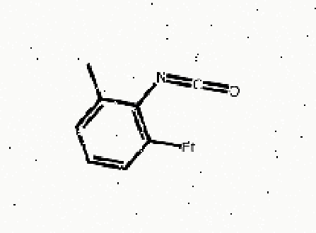 CCc1cccc(C)c1N=C=O